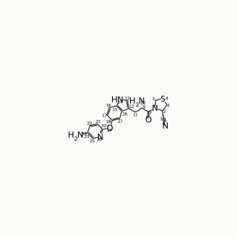 N#C[C@@H]1CSCN1C(=O)[C@@H](N)Cc1c[nH]c2ccc(Oc3ccc(N)cn3)cc12